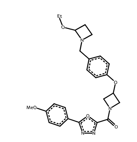 CCOC1CCN1Cc1ccc(OC2CN(C(=O)c3nnc(-c4ccc(OC)cc4)o3)C2)cc1